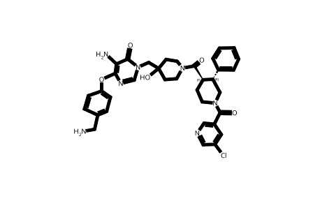 NCc1ccc(Oc2ncn(CC3(O)CCN(C(=O)[C@@H]4CCN(C(=O)c5cncc(Cl)c5)C[C@H]4c4ccccc4)CC3)c(=O)c2N)cc1